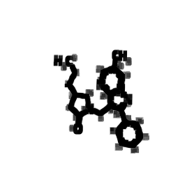 CCCC1CC(=O)N(Cc2c(-c3ccccc3)nn3cc(C)cnc23)C1